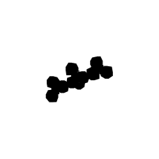 c1ccc(-n2c3ccccc3c3cc(-c4cc5c6c7c(cc(-c8ccc9c(c8)c8ccccc8n9-c8ccccc8)cc7n(-c7ccccc7)c6c4)CC5)ccc32)cc1